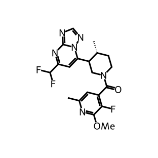 COc1nc(C)cc(C(=O)N2CC[C@@H](C)C(c3cc(C(F)F)nc4ncnn34)C2)c1F